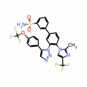 Cc1nc(C(F)(F)F)cn1-c1ccc(-c2cccc(S(N)(=O)=O)c2)cc1-n1nncc1-c1ccc(OC(F)(F)F)cc1